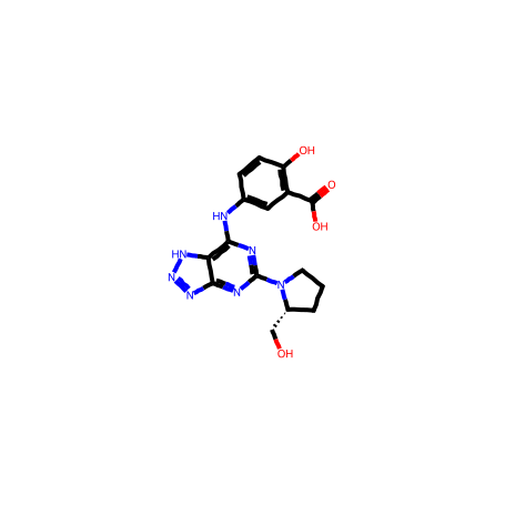 O=C(O)c1cc(Nc2nc(N3CCC[C@@H]3CO)nc3nn[nH]c23)ccc1O